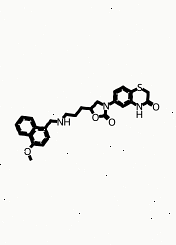 COc1ccc(CNCCCC2CN(c3ccc4c(c3)NC(=O)CS4)C(=O)O2)c2ccccc12